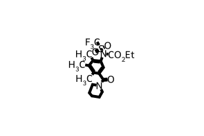 CCOC(=O)N(c1cc(C(=O)N2CCCCC2)c(C)c(C)c1C)S(=O)(=O)C(F)(F)F